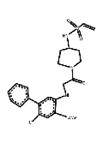 C=CS(=O)(=O)NC1CCN(C(=O)CNc2cc(-c3ccccc3)c(Cl)cc2OC)CC1